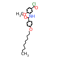 CCCCCCCCCCOc1ccc(C(=O)Nc2cc(C(=O)Cl)ccc2OC)cc1